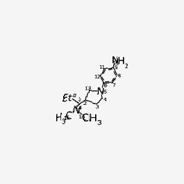 CCC(C1CCN(c2ccc(N)cc2)C1)N(C)C